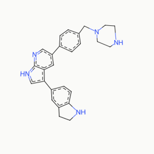 c1cc(-c2cnc3[nH]cc(-c4ccc5c(c4)CCN5)c3c2)ccc1CN1CCNCC1